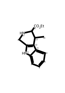 CCOC(=O)C1NCc2[nH]c3ccccc3c2C1C